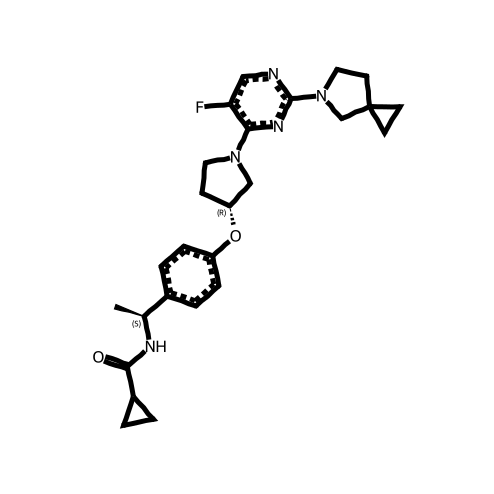 C[C@H](NC(=O)C1CC1)c1ccc(O[C@@H]2CCN(c3nc(N4CCC5(CC5)C4)ncc3F)C2)cc1